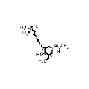 CBON1C[C@@H](CC)[C@@H](O)[C@@H](COCOCC[Si](C)(C)C)C1